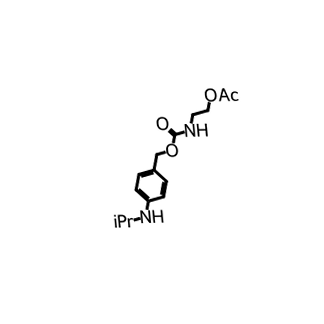 CC(=O)OCCNC(=O)OCc1ccc(NC(C)C)cc1